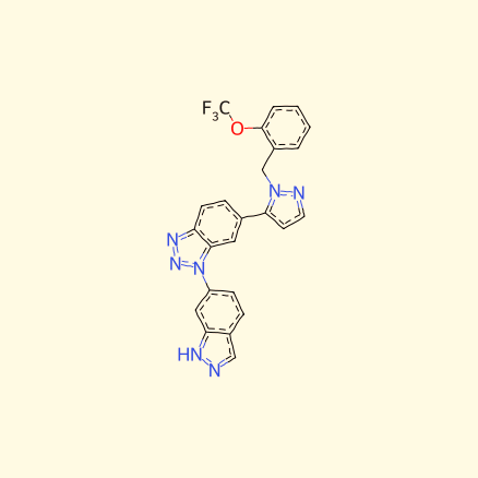 FC(F)(F)Oc1ccccc1Cn1nccc1-c1ccc2nnn(-c3ccc4cn[nH]c4c3)c2c1